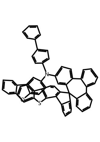 c1ccc(-c2ccc(N(c3ccc4c(c3)C3(c5ccccc5-c5ccccc5-4)c4ccccc4-c4c3ccc3c4sc4ccccc43)c3ccc4oc5ccccc5c4c3)cc2)cc1